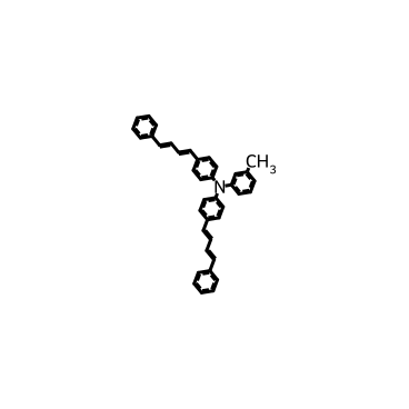 Cc1cccc(N(c2ccc(/C=C/C=C/c3ccccc3)cc2)c2ccc(/C=C/C=C/c3ccccc3)cc2)c1